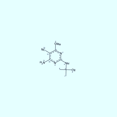 COc1nc(NC(C)(C)C#N)nc(N)c1C#N